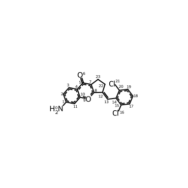 Nc1ccc2c(=O)c3c(oc2c1)/C(=C/c1c(Cl)cccc1Cl)CC3